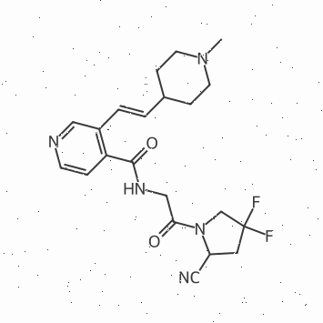 CN1CCC(C=Cc2cnccc2C(=O)NCC(=O)N2CC(F)(F)CC2C#N)CC1